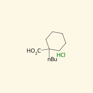 CCCCC1(C(=O)O)CCCCC1.Cl